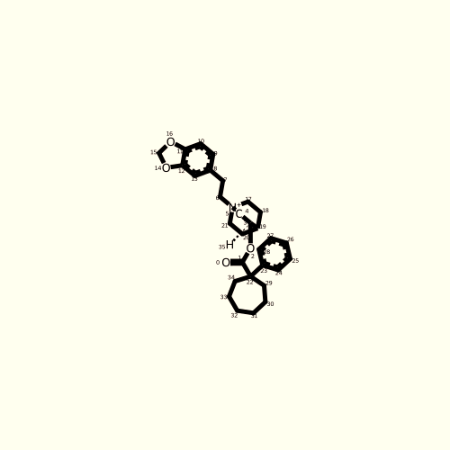 O=C(O[C@H]1C[N+]2(CCc3ccc4c(c3)OCO4)CCC1CC2)C1(c2ccccc2)CCCCCC1